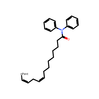 CCCCC/C=C\C/C=C\CCCCCCCC(=O)N(c1ccccc1)c1ccccc1